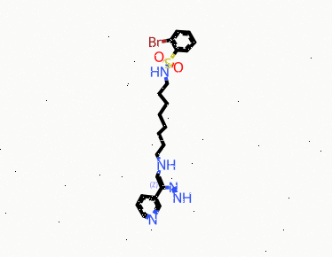 N=N/C(=C\NCCCCCCCCNS(=O)(=O)c1ccccc1Br)c1cccnc1